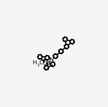 CC1(C)c2ccccc2-c2ccc(N(c3ccc(-c4ccc(-c5ccc6c7ccccc7c7ccccc7c6c5)cc4)cc3)c3cccc4c3oc3ccccc34)cc21